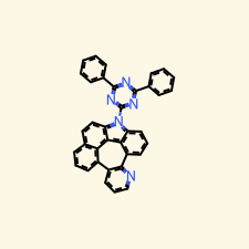 c1ccc(-c2nc(-c3ccccc3)nc(-n3c4cccc5c4c4c6c(cccc6ccc43)-c3cccnc3-5)n2)cc1